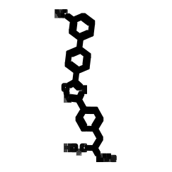 CNC(Cc1ccc(-c2noc(-c3ccc(-c4cccc(C#N)c4)cc3)n2)cc1)C(=O)O